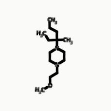 CCCC(C)(CC)N1CCN(CCOC)CC1